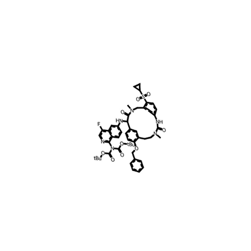 CN1CCc2cc(ccc2OCc2ccccc2)C(Nc2ccc3c(N(C(=O)OC(C)(C)C)C(=O)OC(C)(C)C)ncc(F)c3c2)C(=O)N(C)Cc2cc(ccc2S(=O)(=O)C2CC2)NC1=O